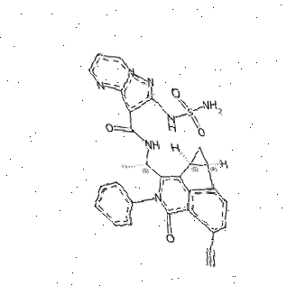 C#Cc1ccc2c3c(c([C@H](C)NC(=O)c4c(NS(N)(=O)=O)nn5cccnc45)n(-c4ccccc4)c(=O)c13)[C@H]1C[C@@H]21